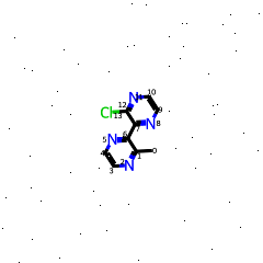 Cc1nccnc1-c1nccnc1Cl